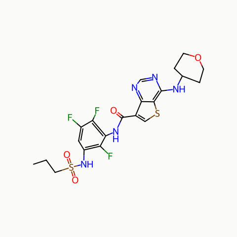 CCCS(=O)(=O)Nc1cc(F)c(F)c(NC(=O)c2csc3c(NC4CCOCC4)ncnc23)c1F